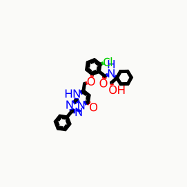 O=C(NC1(CO)CCCCC1)c1c(Cl)cccc1OCc1cc(=O)n2nc(-c3ccccc3)nc2[nH]1